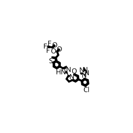 O=C(Cc1csc2ccc(-c3cnc([C@@H]4CCc5cc(-c6cc(Cl)ccc6-n6cnnn6)cc(=O)n54)[nH]3)cc12)OC(=O)C(F)(F)F